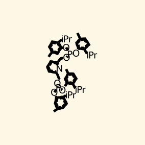 Cc1ccc(C(C)C)c(OP(OCc2cccc(COP(Oc3cc(C)ccc3C(C)C)Oc3cc(C)ccc3C(C)C)n2)Oc2cc(C)ccc2C(C)C)c1